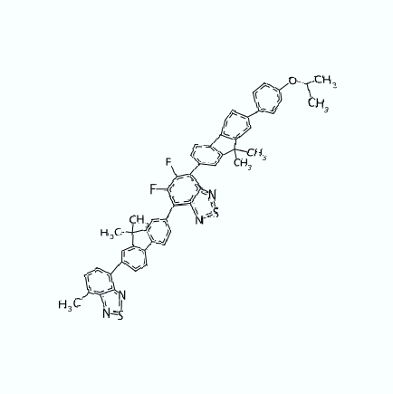 Cc1ccc(-c2ccc3c(c2)C(C)(C)c2cc(-c4c(F)c(F)c(-c5ccc6c(c5)C(C)(C)c5cc(-c7ccc(OC(C)C)cc7)ccc5-6)c5nsnc45)ccc2-3)c2nsnc12